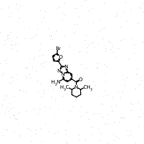 CC1CCCC(C)N1C(=O)c1cc(N)n2nc(-c3ccc(Br)o3)nc2c1